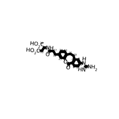 N=C(N)Nc1ccc2c(c1)CCc1ccc(CCC(=O)N[C@@H](CC(=O)O)C(=O)O)cc1OC2=O